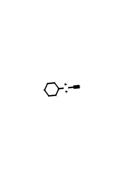 C#CS(=O)(=O)C1CCCCC1